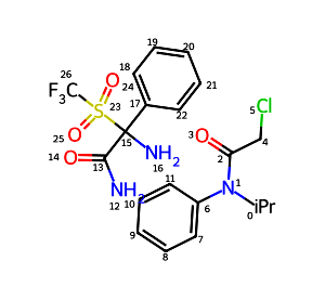 CC(C)N(C(=O)CCl)c1ccccc1.NC(=O)C(N)(c1ccccc1)S(=O)(=O)C(F)(F)F